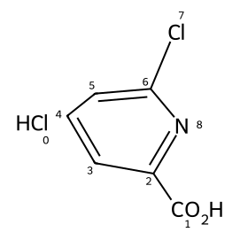 Cl.O=C(O)c1cccc(Cl)n1